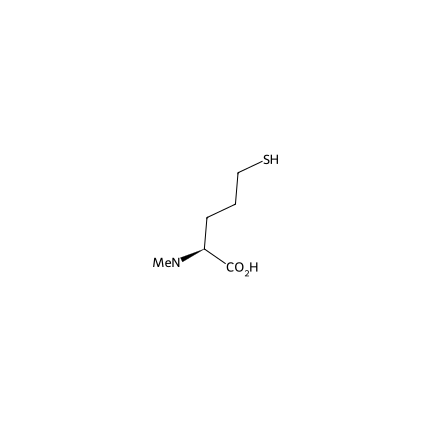 CN[C@@H](CCCS)C(=O)O